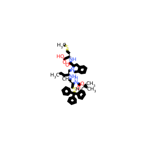 CC[C@H](C)[C@@H](CN1Cc2ccccc2CC1C(=O)N[C@@H](CCSC)C(=O)O)NC[C@H](CSC(c1ccccc1)(c1ccccc1)c1ccccc1)NC(=O)OC(C)(C)C